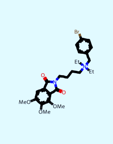 CC[N+](CC)(CCCCN1C(=O)c2cc(OC)c(OC)c(OC)c2C1=O)Cc1ccc(Br)cc1